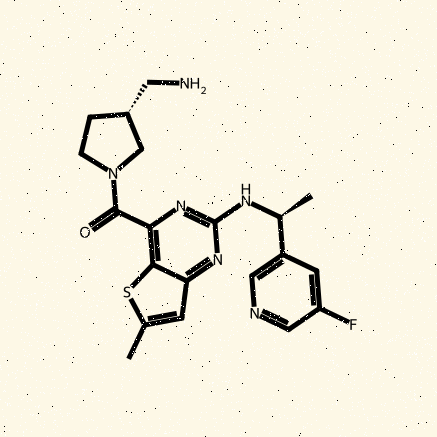 Cc1cc2nc(N[C@@H](C)c3cncc(F)c3)nc(C(=O)N3CC[C@H](CN)C3)c2s1